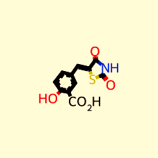 O=C1NC(=O)C(=Cc2ccc(O)c(C(=O)O)c2)S1